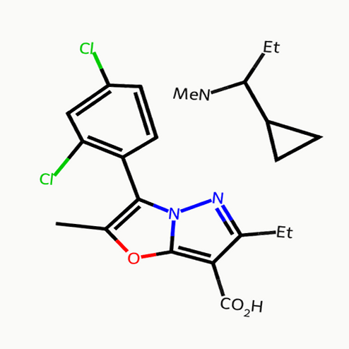 CCC(NC)C1CC1.CCc1nn2c(-c3ccc(Cl)cc3Cl)c(C)oc2c1C(=O)O